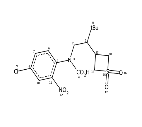 CC(C)(C)C(CN(C(=O)O)c1ccc(Cl)cc1[N+](=O)[O-])C1CS(=O)(=O)C1